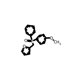 COc1ccc(P(=O)(Cc2ccco2)c2ccccc2)cc1